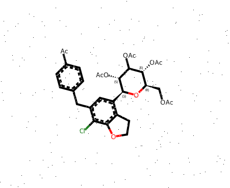 CC(=O)OC[C@H]1O[C@@H](c2cc(Cc3ccc(C(C)=O)cc3)c(Cl)c3c2CCO3)[C@H](OC(C)=O)C(OC(C)=O)[C@@H]1OC(C)=O